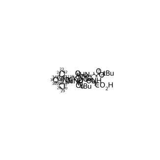 CC(C)(C)OC(=O)CC[C@H](NC(=O)CNC(=O)[C@H](Cc1cn(C(c2ccccc2)(c2ccccc2)c2ccccc2)cn1)NC(=O)OC(C)(C)C)C(=O)NCC(=O)O